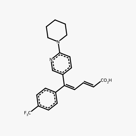 O=C(O)/C=C/C=C(/c1ccc(C(F)(F)F)cc1)c1ccc(N2CCCCC2)nc1